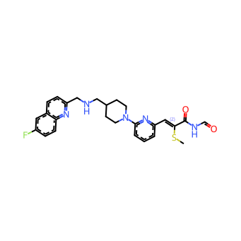 CS/C(=C\c1cccc(N2CCC(CNCc3ccc4cc(F)ccc4n3)CC2)n1)C(=O)NC=O